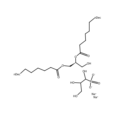 CCCCCCCCCCCCCCCC(=O)OC[C@H](CO)OC(=O)CCCCCCCCCCCCCCC.O=P([O-])([O-])C(O)C(O)CO.[Na+].[Na+]